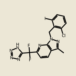 Cc1nn(Cc2c(Cl)cccc2I)c2nc(C(F)(F)c3nnn[nH]3)ccc12